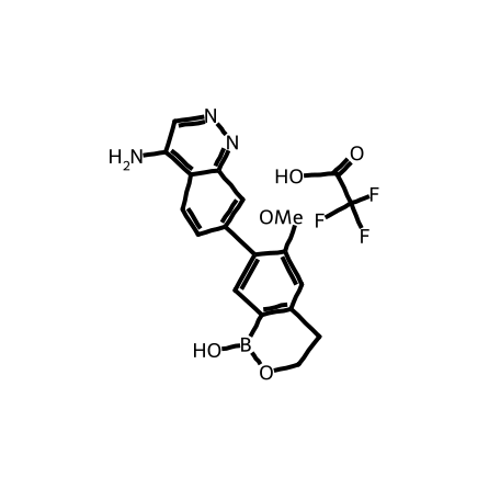 COc1cc2c(cc1-c1ccc3c(N)cnnc3c1)B(O)OCC2.O=C(O)C(F)(F)F